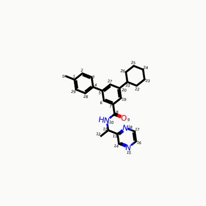 Cc1ccc(-c2cc(C(=O)NC(C)c3cnccn3)cc(C3CCCCC3)c2)cc1